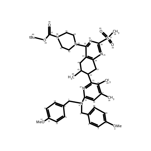 COc1ccc(CN(Cc2ccc(OC)cc2)c2cc(C)c(C(F)(F)F)c(C3Cc4nc(S(C)(=O)=O)nc(N5CCN(C(=O)OC(C)(C)C)CC5)c4CC3C)n2)cc1